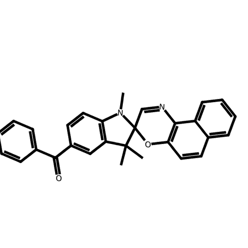 CN1c2ccc(C(=O)c3ccccc3)cc2C(C)(C)C12C=Nc1c(ccc3ccccc13)O2